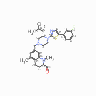 Cc1cc(CN2CCN(c3ncc(-c4cccc(F)c4)s3)[C@H](CC(C)C)C2)cc2c1CCC(C=O)N2C